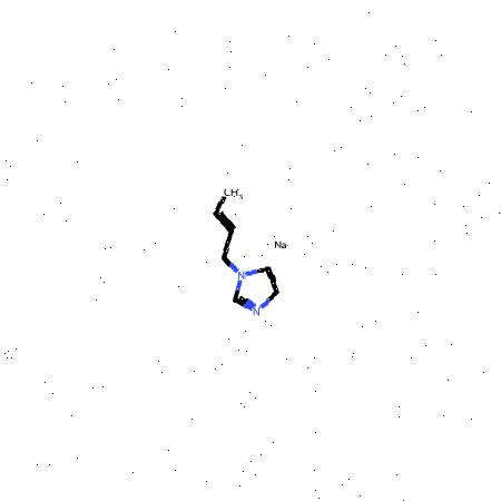 CC=CCN1C=NCC1.[Na]